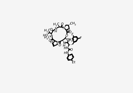 CCc1ccc(NC(=O)N[C@@H](Cc2cc(F)cc(F)c2)C(=O)N[C@@H]2C(=O)N3CC=C[C@H]3C(=O)N(C)[C@@H]([C@H](C)O)C(=O)N[C@@H](C)C(=O)N3C[C@H](C)C[C@H]3C(=O)O[C@H]2C)cc1